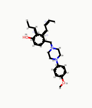 C\C=C/C=c1/c(CN2CCN(c3ccc(OC)cc3)CC2)ccc(O)/c1=C\CC